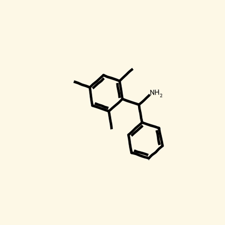 Cc1cc(C)c(C(N)c2cc[c]cc2)c(C)c1